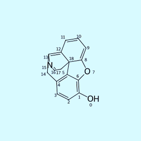 Oc1ccc2c3c1OC1=CC=CC4=C(C2)N=CCC143